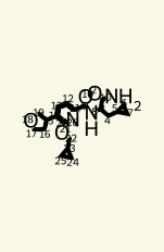 NC(=O)C(CC1CC1)NC(=O)c1ccc(C2CCOC2)c(OCC2CC2)n1